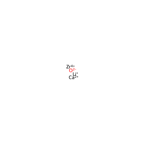 [Ca+2].[Li+].[O-2].[Zr+4]